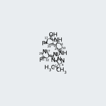 CC(C)c1cnn2c(N[C@H]3CCc4[nH]c5c(O)cc(F)cc5c4C3)nc(-c3cncc(F)c3)nc12